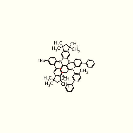 Cc1ccc(-c2ccccc2)cc1N1c2cc(-c3ccccc3)ccc2B2c3cc4c(cc3N(c3ccc(C(C)(C)C)cc3-c3ccc5c(c3)C(C)(C)CC5(C)C)c3cc(C(C)(C)C)cc1c32)C(C)(C)CC4(C)C